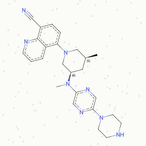 C[C@H]1C[C@@H](N(C)c2cnc(N3CCNCC3)cn2)CN(c2ccc(C#N)c3ncccc23)C1